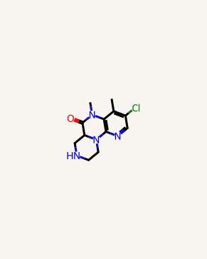 Cc1c(Cl)cnc2c1N(C)C(=O)C1CNCCN21